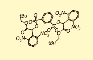 CC(C)(C)COC(=O)C(OS(=O)(=O)c1cccc(S(=O)(=O)OC(C(=O)OCC(C)(C)C)c2c([N+](=O)[O-])cccc2[N+](=O)[O-])c1)c1c([N+](=O)[O-])cccc1[N+](=O)[O-]